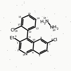 CCc1cnc2ccc(Cl)cc2c1-c1ccccc1Cl.NN